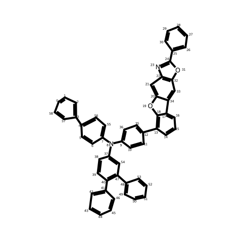 c1ccc(-c2ccc(N(c3ccc(-c4cccc5c4oc4cc6nc(-c7ccccc7)oc6cc45)cc3)c3ccc(-c4ccccc4)c(-c4ccccc4)c3)cc2)cc1